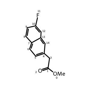 COC(=O)Cc1ccc2ccc(F)cc2c1